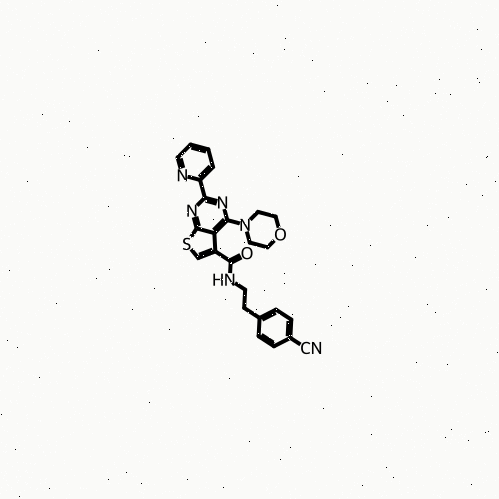 N#Cc1ccc(CCNC(=O)c2csc3nc(-c4ccccn4)nc(N4CCOCC4)c23)cc1